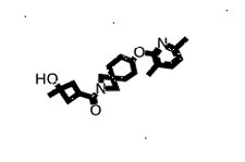 Cc1ccc(C)c(OC2CCC3(CC2)CN(C(=O)C2CC(C)(O)C2)C3)n1